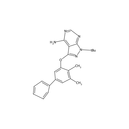 Cc1cc(-c2ccccc2)cc(Oc2nn(C(C)(C)C)c3ncnc(N)c23)c1C